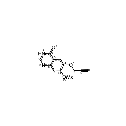 C#CCOc1cc2c(=O)[nH]cnc2cc1OC